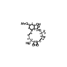 COc1cc(O)c2c(c1)/C=C/C[C@H](O)[C@H](O)C(=O)/C=C\[C@](C)(F)[C@H](C)OC2=O